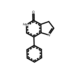 O=c1[nH]cc(-c2ccccc2)c2c1CC=N2